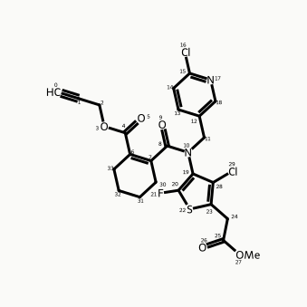 C#CCOC(=O)C1=C(C(=O)N(Cc2ccc(Cl)nc2)c2c(F)sc(CC(=O)OC)c2Cl)CCCC1